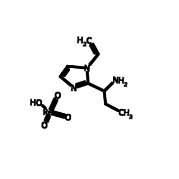 C=Cn1ccnc1C(N)CC.[O]=[Re](=[O])(=[O])[OH]